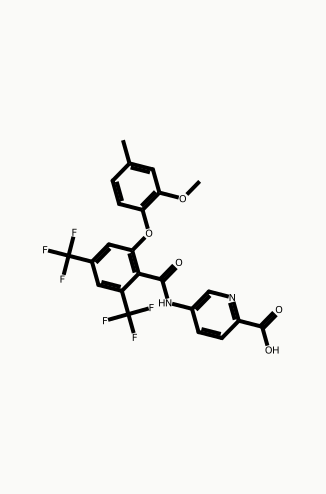 COc1cc(C)ccc1Oc1cc(C(F)(F)F)cc(C(F)(F)F)c1C(=O)Nc1ccc(C(=O)O)nc1